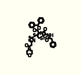 O=C(Cc1ccccc1)N[C@@H]1C(=O)N2C(C(=O)OC(c3ccccc3)c3ccccc3)=C(Sc3nc(CC(=O)N4CCOCC4)cs3)CS[C@H]12